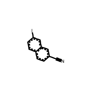 N#Cc1ccc2ccc(I)cc2c1